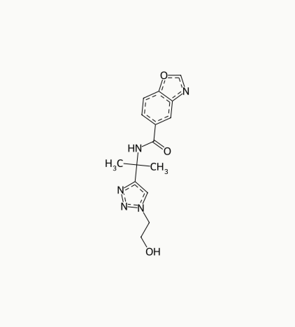 CC(C)(NC(=O)c1ccc2ocnc2c1)c1cn(CCO)nn1